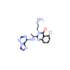 CC(Nc1ncnn2ccnc12)c1nc2cccc(Cl)c2c(=O)n1CCCN